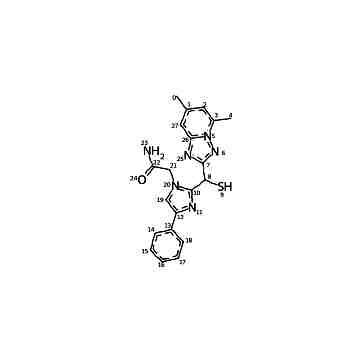 Cc1cc(C)n2nc(C(S)c3nc(-c4ccccc4)cn3CC(N)=O)nc2c1